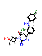 C[C@@]1(c2cccc(Nc3ccc(Cl)cc3)c2Cl)CC(=O)N([C@H]2C[C@@](C)(O)C2)C(=N)N1